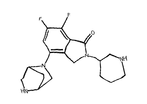 O=C1c2c(F)c(F)cc(N3CC4CC3CN4)c2CN1C1CCCNC1